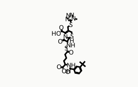 Cn1nnnc1SCC1=C(C(=O)O)N2C(=O)C(NSC(=O)CCCC(NC(=O)c3cccc(C(C)(C)C)c3)C(=O)O)[C@@H]2SC1